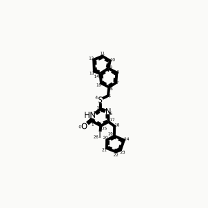 O=c1[nH]c(SCc2ccc3ccccc3c2)nc(Cc2ccccc2)c1I